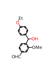 CCOc1ccc(C(O)c2ccc(C=O)cc2OC)cc1